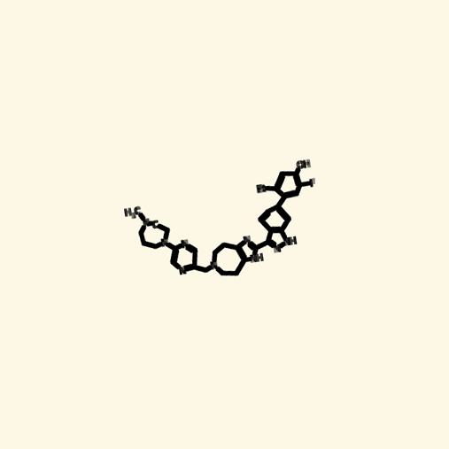 CCc1cc(O)c(F)cc1-c1ccc2c(-c3nc4c([nH]3)CCN(Cc3cnc(N5CCCN(C)CC5)cn3)CC4)n[nH]c2c1